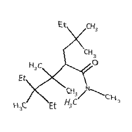 CCC(C)(C)CC(C(=O)N(C)C)C(C)(C)C(C)(CC)CC